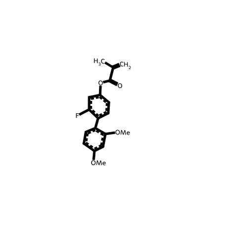 C=C(C)C(=O)Oc1ccc(-c2ccc(OC)cc2OC)c(F)c1